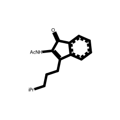 CC(=O)NC1=C(CCCC(C)C)c2ccccc2C1=O